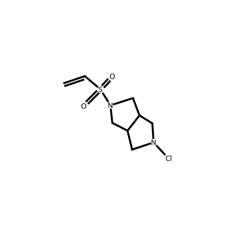 C=CS(=O)(=O)N1CC2CN(Cl)CC2C1